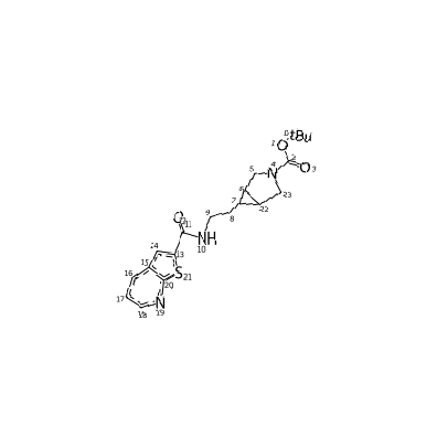 CC(C)(C)OC(=O)N1CC2C(CCNC(=O)c3cc4cccnc4s3)C2C1